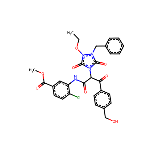 CCOn1c(=O)n(C(C(=O)Nc2cc(C(=O)OC)ccc2Cl)C(=O)c2ccc(CO)cc2)c(=O)n1Cc1ccccc1